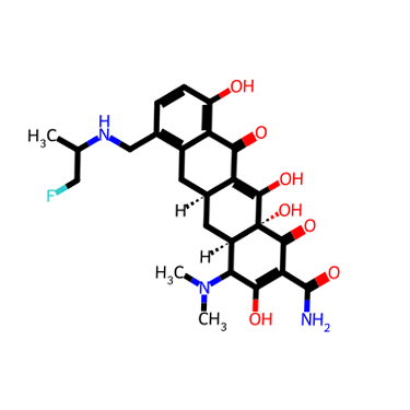 CC(CF)NCc1ccc(O)c2c1C[C@@H]1C[C@@H]3C(N(C)C)C(O)=C(C(N)=O)C(=O)[C@]3(O)C(O)=C1C2=O